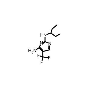 CCC(CC)Nc1ncc(C(F)(F)F)c(N)n1